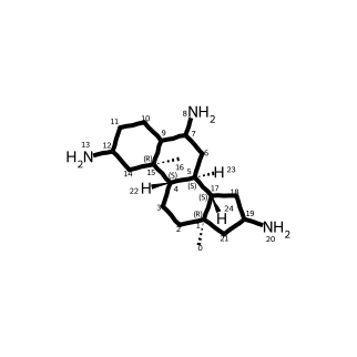 C[C@]12CC[C@H]3[C@@H](CC(N)C4CCC(N)C[C@@]43C)[C@@H]1CC(N)C2